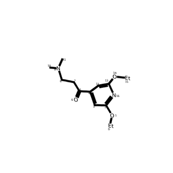 CCOc1cc(C(=O)CCN(C)C)cc(OCC)n1